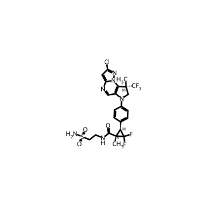 C[C@@]1(C(F)(F)F)CN(c2ccc([C@H]3C(F)(F)[C@]3(C)C(=O)NCCS(N)(=O)=O)cc2)c2cnc3cc(Cl)nn3c21